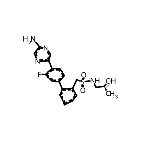 C[C@H](O)CNS(=O)(=O)Cc1ccccc1-c1ccc(-c2cnc(N)cn2)c(F)c1